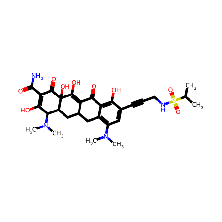 CC(C)S(=O)(=O)NCC#Cc1cc(N(C)C)c2c(c1O)C(=O)C1=C(O)C3(O)C(=O)C(C(N)=O)=C(O)C(N(C)C)C3CC1C2